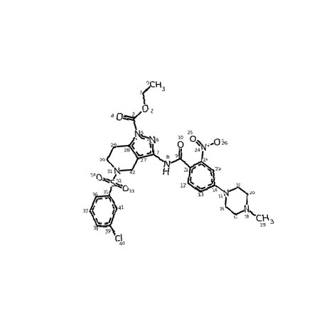 CCOC(=O)n1nc(NC(=O)c2ccc(N3CCN(C)CC3)cc2[N+](=O)[O-])c2c1CCN(S(=O)(=O)c1cccc(Cl)c1)C2